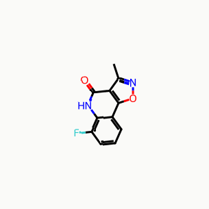 Cc1noc2c1c(=O)[nH]c1c(F)cccc12